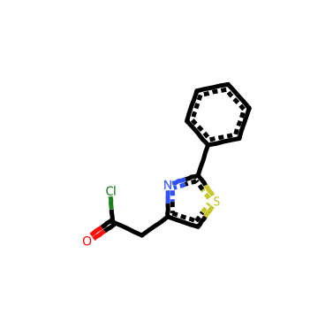 O=C(Cl)Cc1csc(-c2ccccc2)n1